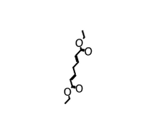 CCOC(=O)/C=C/C/C=C/C(=O)OCC